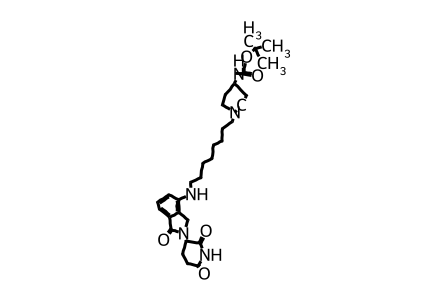 CC(C)(C)OC(=O)NC1CCN(CCCCCCCCNc2cccc3c2CN(C2CCC(=O)NC2=O)C3=O)CC1